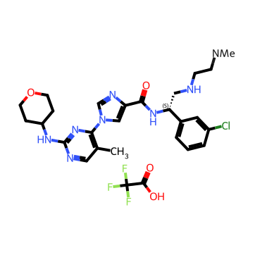 CNCCNC[C@@H](NC(=O)c1cn(-c2nc(NC3CCOCC3)ncc2C)cn1)c1cccc(Cl)c1.O=C(O)C(F)(F)F